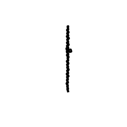 CCCCCCCCCCCCCCCCCCCCCCCCCCC(=O)OCCCCCCCCCCCCCCC